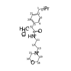 CC(C)Cc1ccc([C@@H](C)C(=O)NCCCN2CCOCC2)cc1.Cl